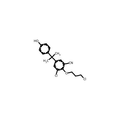 CC(C)(c1ccc(O)cc1)c1cc(Cl)c(OCCCCl)c(C#N)c1